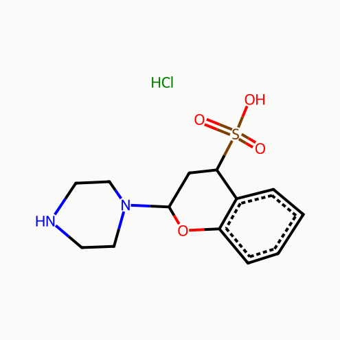 Cl.O=S(=O)(O)C1CC(N2CCNCC2)Oc2ccccc21